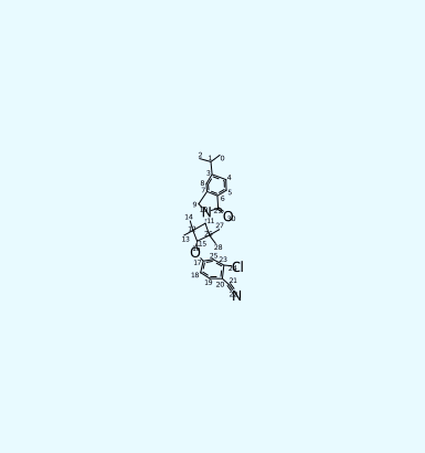 CC(C)c1ccc2c(c1)CN([C@H]1C(C)(C)[C@H](Oc3ccc(C#N)c(Cl)c3)C1(C)C)C2=O